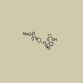 COC(=O)C1(CN2CCC(COc3noc4cccc(O[C@H]5CCC[C@@H]5O)c34)CC2)CCC1